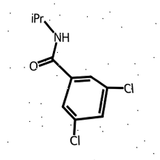 CC(C)NC(=O)c1cc(Cl)cc(Cl)c1